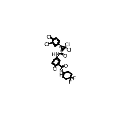 O=C(NC1CCC(F)(F)CC1)c1cc(NC(=O)[C@@H]2[C@@H](c3ccc(Cl)c(Cl)c3)C2(Cl)Cl)ccc1Cl